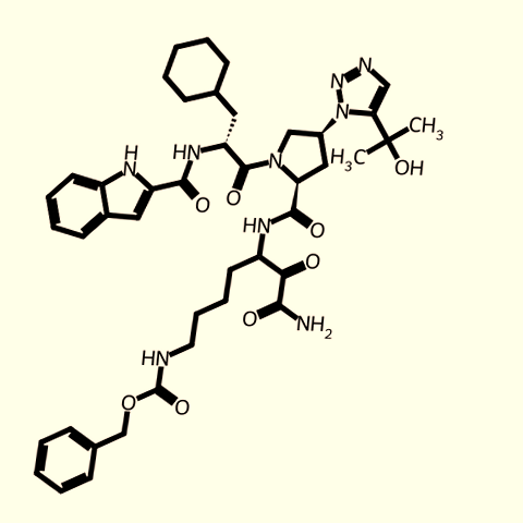 CC(C)(O)c1cnnn1[C@H]1C[C@@H](C(=O)NC(CCCCNC(=O)OCc2ccccc2)C(=O)C(N)=O)N(C(=O)[C@@H](CC2CCCCC2)NC(=O)c2cc3ccccc3[nH]2)C1